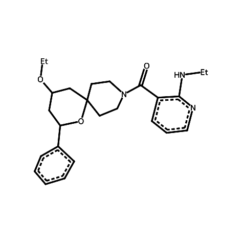 CCNc1ncccc1C(=O)N1CCC2(CC1)CC(OCC)CC(c1ccccc1)O2